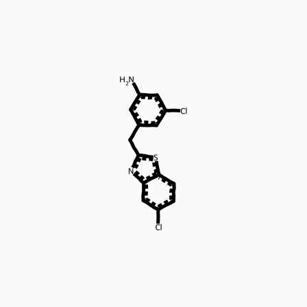 Nc1cc(Cl)cc(Cc2nc3cc(Cl)ccc3s2)c1